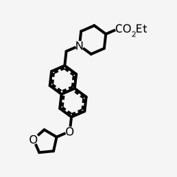 CCOC(=O)C1CCN(Cc2ccc3cc(OC4CCOC4)ccc3c2)CC1